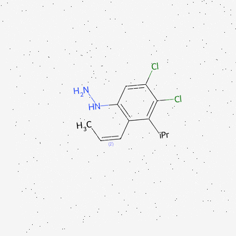 C/C=C\c1c(NN)cc(Cl)c(Cl)c1C(C)C